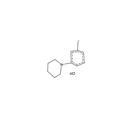 Cl.[CH2]c1cccc(N2CCCCC2)c1